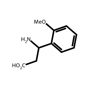 COc1ccccc1C(N)CC(=O)O